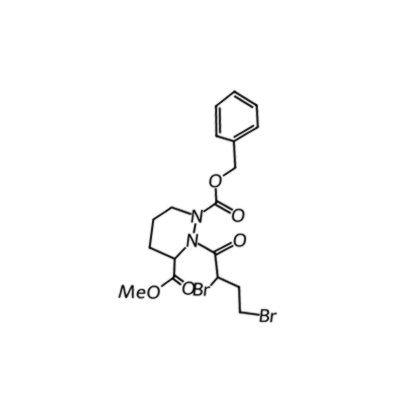 COC(=O)C1CCCN(C(=O)OCc2ccccc2)N1C(=O)C(Br)CCBr